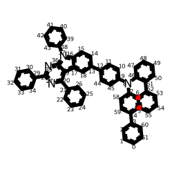 c1ccc(-c2ccc(N(c3ccc(-c4ccc5c(c4)c4c(-c6ccccc6)nc(-c6ccccc6)nc4n5-c4ccccc4)cc3)c3ccccc3-c3ccccc3)cc2)cc1